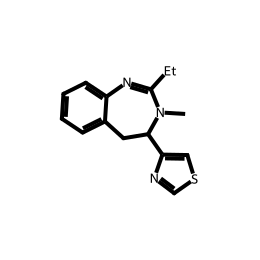 CCC1=Nc2ccccc2CC(c2cscn2)N1C